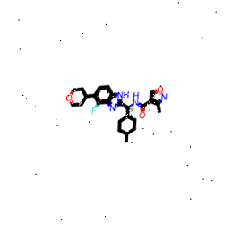 Cc1nocc1C(=O)N[C@H](c1nc2c(F)c(C3CCOCC3)ccc2[nH]1)C1CCC(C)CC1